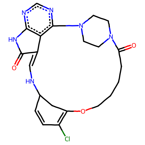 O=C1Nc2ncnc3c2/C1=C/NC1C=CC(Cl)=C(C1)OCCCCC(=O)N1CCN3CC1